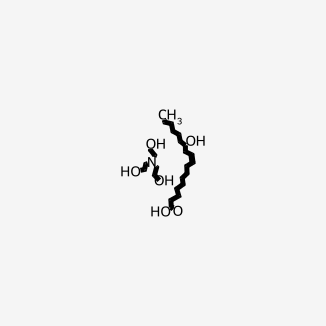 CCCCCCC(O)C/C=C\CCCCCCCC(=O)O.OCCN(CCO)CCO